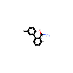 Cc1cccc(-c2ccccc2C(N)=O)c1